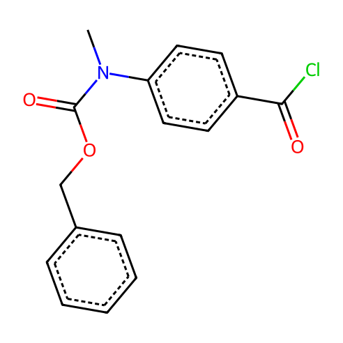 CN(C(=O)OCc1ccccc1)c1ccc(C(=O)Cl)cc1